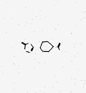 COC(=O)[C@H]1CC[C@H](c2noc(=O)[nH]2)CC1